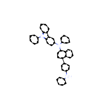 c1ccc(Nc2ccc(-c3ccc(N(c4ccccc4)c4ccc5c(c4)c4ccccc4n5-c4ccccc4)c4ccccc34)cc2)cc1